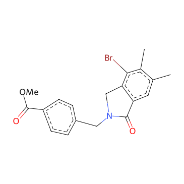 COC(=O)c1ccc(CN2Cc3c(cc(C)c(C)c3Br)C2=O)cc1